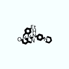 CCc1ccc(Cn2c(=O)ccc3cnc(Nc4ccc(N5CCCCC5)cc4)nc32)cc1